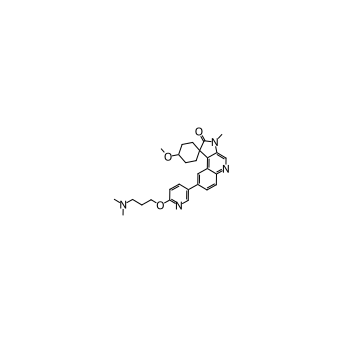 COC1CCC2(CC1)C(=O)N(C)c1cnc3ccc(-c4ccc(OCCCN(C)C)nc4)cc3c12